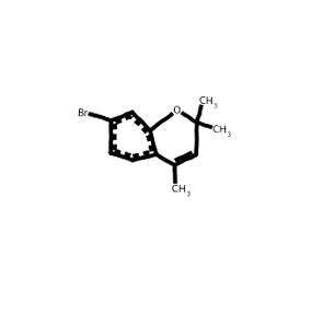 CC1=CC(C)(C)Oc2cc(Br)ccc21